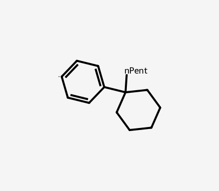 CCCCCC1(c2cc[c]cc2)CCCCC1